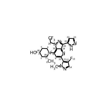 C[C@@H]1C[C@H](O)CCN1c1cc(-c2c(F)cnn2C)nc2c(-c3ccn[nH]3)nn(CC(F)(F)F)c12